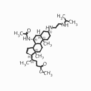 COC(=O)CC[C@@H](C)[C@H]1CCC2C3C(CC[C@@]21C)[C@@]1(C)CC[C@H](NCCNC(C)C)C[C@@H]1C[C@H]3NC(C)=O